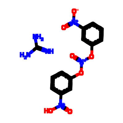 N=C(N)N.O=[N+](Oc1cccc([N+](=O)[O-])c1)Oc1cccc([N+](=O)O)c1